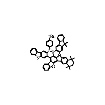 CC(C)(C)c1ccc(N2B3c4cc5c(cc4-n4c6cc7c(cc6c6c8oc9ccccc9c8c(c3c64)-c3cc4sc6ccccc6c4cc32)C(C)(C)CCC7(C)C)C(C)(C)c2ccccc2-5)cc1